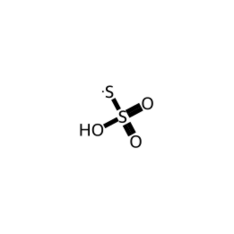 O=S(=O)(O)[S]